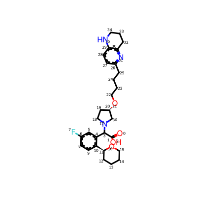 O=C(O)C(c1cc(F)ccc1[C@@H]1CCCCO1)N1CC[C@H](OCCCCc2ccc3c(n2)CCCN3)C1